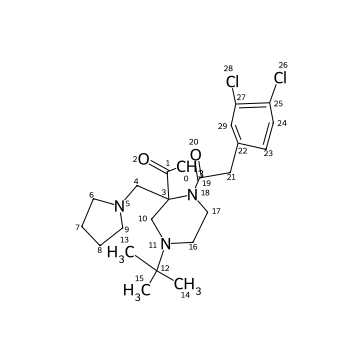 CC(=O)C1(CN2CCCC2)CN(C(C)(C)C)CCN1C(=O)Cc1ccc(Cl)c(Cl)c1